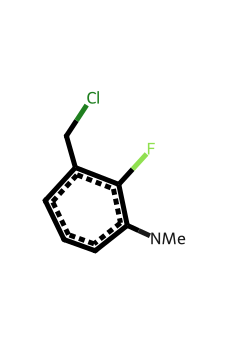 CNc1cccc(CCl)c1F